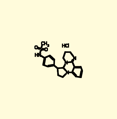 CS(=O)(=O)Nc1ccc(C2CCN3c4ccccc4C4=NCCCN4C23)cc1.Cl